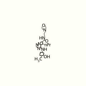 CCCc1c(C(=O)NCCCN2CCOCC2)cn2ncnc(Nc3ccc(C)c(O)c3)c12